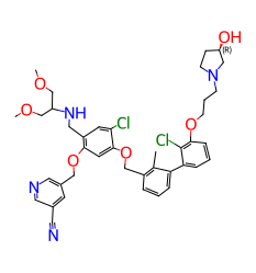 COCC(COC)NCc1cc(Cl)c(OCc2cccc(-c3cccc(OCCCN4CC[C@@H](O)C4)c3Cl)c2C)cc1OCc1cncc(C#N)c1